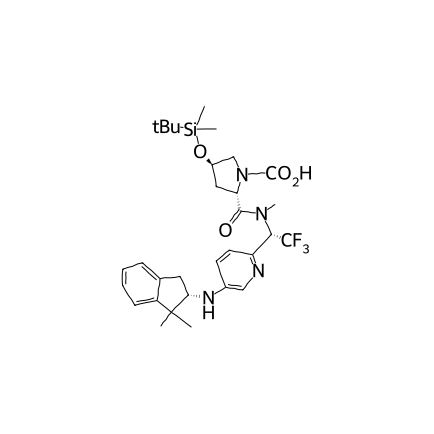 CN(C(=O)[C@@H]1C[C@@H](O[Si](C)(C)C(C)(C)C)CN1C(=O)O)[C@@H](c1ccc(N[C@H]2Cc3ccccc3C2(C)C)cn1)C(F)(F)F